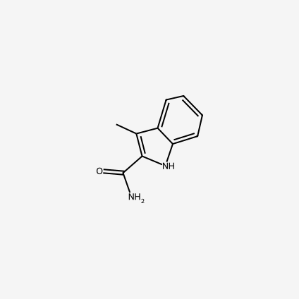 Cc1c(C(N)=O)[nH]c2ccccc12